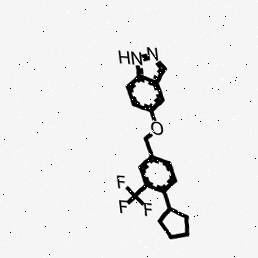 FC(F)(F)c1cc(COc2ccc3[nH]ncc3c2)ccc1C1CCCC1